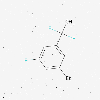 CCc1cc(F)cc(C(C)(F)F)c1